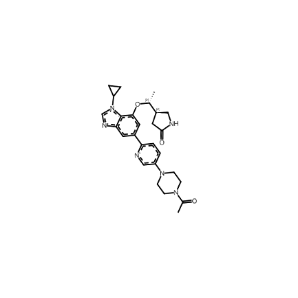 CC(=O)N1CCN(c2ccc(-c3cc(O[C@H](C)[C@H]4CNC(=O)C4)c4c(c3)ncn4C3CC3)nc2)CC1